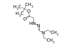 CCN(/C=N/NCC(=O)OC(C)(C)C)CC